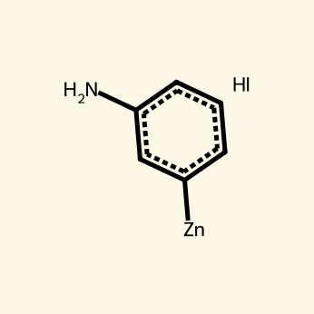 I.Nc1ccc[c]([Zn])c1